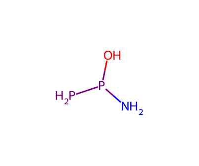 NP(O)P